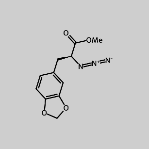 COC(=O)[C@H](Cc1ccc2c(c1)OCO2)N=[N+]=[N-]